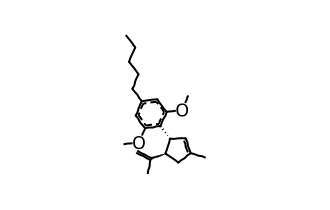 C=C(C)[C@@H]1CC(C)=C[C@H]1c1c(OC)cc(CCCCC)cc1OC